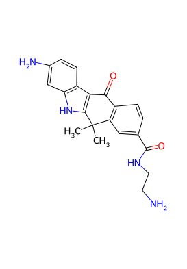 CC1(C)c2cc(C(=O)NCCN)ccc2C(=O)c2c1[nH]c1cc(N)ccc21